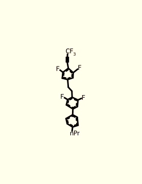 CCCc1ccc(-c2cc(F)c(CCc3cc(F)c(C#CC(F)(F)F)c(F)c3)c(F)c2)cc1